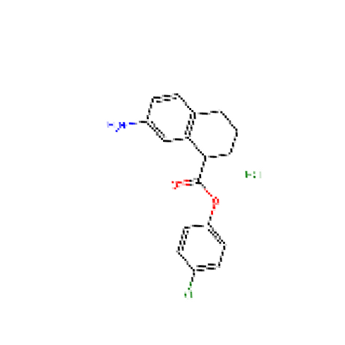 Cl.Nc1ccc2c(c1)C(C(=O)Oc1ccc(Cl)cc1)CCC2